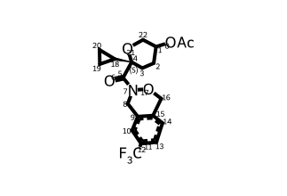 CC(=O)OC1CC[C@@](C(=O)N2Cc3cc(C(F)(F)F)ccc3CO2)(C2CC2)OC1